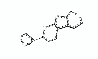 c1cc2c(cn1)[nH]c1nc(-c3cn[nH]c3)ccc12